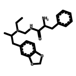 CCN(CNC(=O)C(N)Cc1ccccc1)C(C)Cc1ccc2c(c1)OCO2